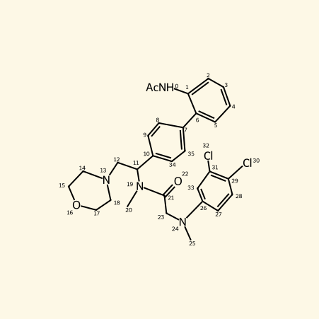 CC(=O)Nc1ccccc1-c1ccc(C(CN2CCOCC2)N(C)C(=O)CN(C)c2ccc(Cl)c(Cl)c2)cc1